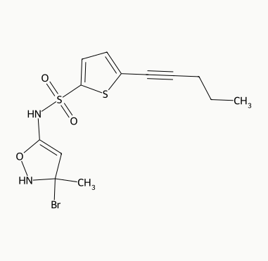 CCCC#Cc1ccc(S(=O)(=O)NC2=CC(C)(Br)NO2)s1